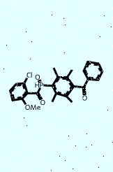 COc1cccc(Cl)c1C(=O)[PH](=O)c1c(C)c(C)c(C(=O)c2ccccc2)c(C)c1C